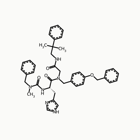 CN(Cc1ccccc1)C(=O)N[C@@H](Cc1c[nH]cn1)C(=O)N(CC(=O)NCC(C)(C)c1ccccc1)Cc1ccc(OCc2ccccc2)cc1